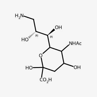 CC(=O)NC1C(O)CC(O)(C(=O)O)OC1[C@H](O)[C@H](O)CN